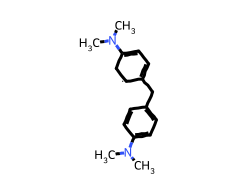 CN(C)C1=CC=C(Cc2ccc(N(C)C)cc2)[CH]C1